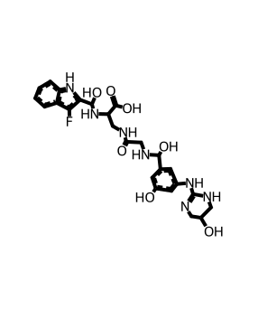 O=C(CNC(O)c1cc(O)cc(NC2=NCC(O)CN2)c1)NCC(NC(O)c1[nH]c2ccccc2c1F)C(=O)O